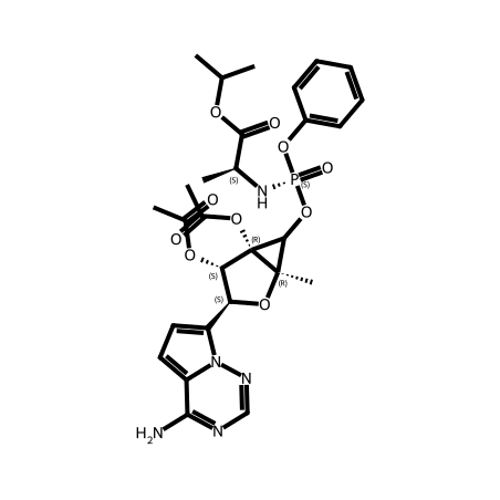 CC(=O)O[C@H]1[C@H](c2ccc3c(N)ncnn23)O[C@]2(C)C(O[P@@](=O)(N[C@@H](C)C(=O)OC(C)C)Oc3ccccc3)[C@]12OC(C)=O